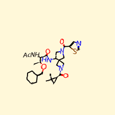 CC(=O)N[C@@H](C(=O)NC1CN(C(=O)c2cncs2)CC12CN(C(=O)[C@H]1CC1(C)C)C2)[C@H](C)OCC1CCCCC1